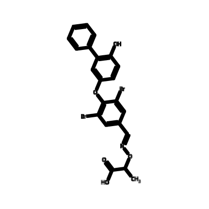 CC(ON=Cc1cc(Br)c(Oc2ccc(O)c(-c3ccccc3)c2)c(Br)c1)C(=O)O